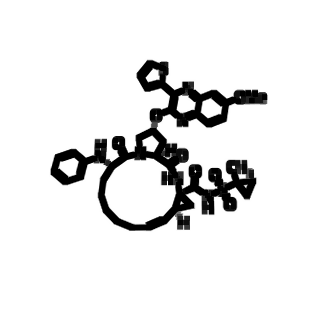 COc1ccc2nc(O[C@@H]3C[C@H]4C(=O)N[C@]5(C(=O)NS(=O)(=O)C6(C)CC6)C[C@H]5/C=C\CCCCC[C@H](Nc5ccccc5)C(=O)N4C3)c(-c3cccs3)nc2c1